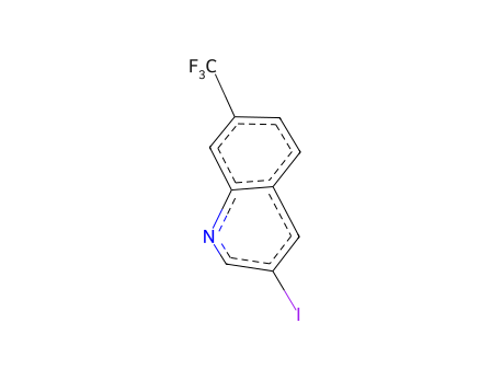 FC(F)(F)c1ccc2cc(I)cnc2c1